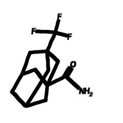 NC(=O)C12CC3CC(C1)CC(C(F)(F)F)(C3)C2